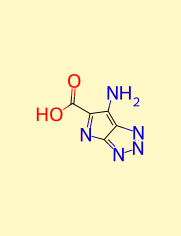 NC1=C2N=NN=C2N=C1C(=O)O